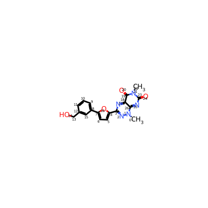 Cn1nc(-c2ccc(-c3cccc(CO)c3)o2)nc2c(=O)n(C)c(=O)nc1-2